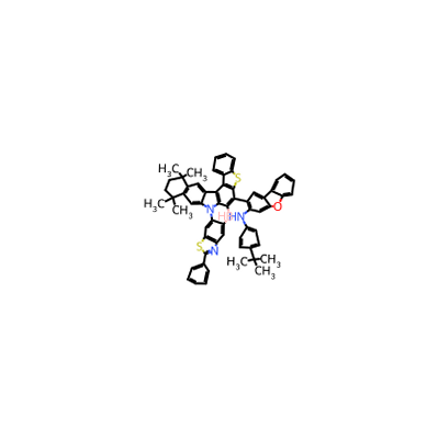 CC(C)(C)c1ccc(Nc2cc3oc4ccccc4c3cc2-c2c3c4c(c5cc6c(cc5n4-c4cc5sc(-c7ccccc7)nc5cc4B3)C(C)(C)CCC6(C)C)c3c2sc2ccccc23)cc1